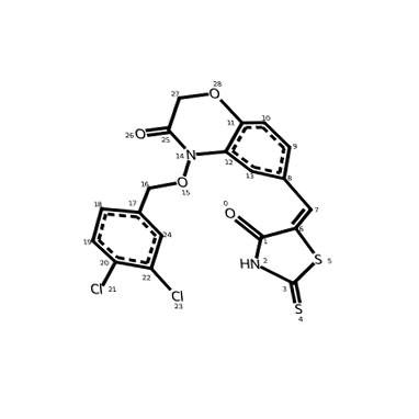 O=C1NC(=S)SC1=Cc1ccc2c(c1)N(OCc1ccc(Cl)c(Cl)c1)C(=O)CO2